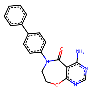 Nc1ncnc2c1C(=O)N(c1ccc(-c3ccccc3)cc1)CCO2